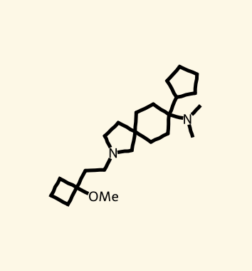 COC1(CCN2CCC3(CCC(C4CCCC4)(N(C)C)CC3)C2)CCC1